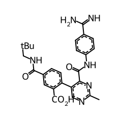 Cc1ncc(-c2ccc(C(=O)NCC(C)(C)C)cc2C(=O)O)c(C(=O)Nc2ccc(C(=N)N)cc2)n1